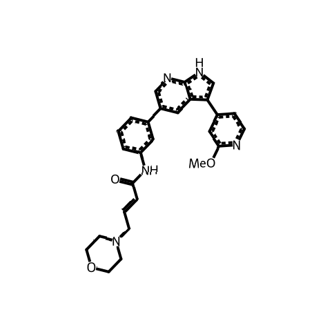 COc1cc(-c2c[nH]c3ncc(-c4cccc(NC(=O)C=CCN5CCOCC5)c4)cc23)ccn1